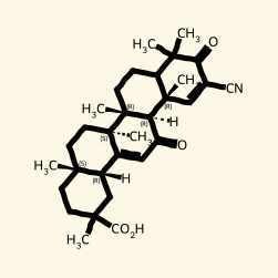 CC1(C(=O)O)CC[C@]2(C)CC[C@]3(C)C(=CC(=O)[C@@H]4[C@@]5(C)C=C(C#N)C(=O)C(C)(C)C5CC[C@]43C)[C@@H]2C1